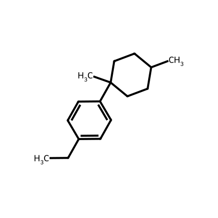 CCc1ccc(C2(C)CCC(C)CC2)cc1